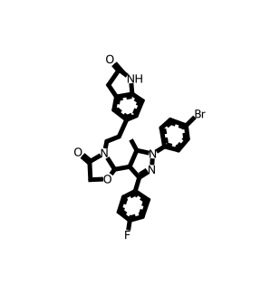 CC1C(C2OCC(=O)N2CCc2ccc3c(c2)CC(=O)N3)C(c2ccc(F)cc2)=NN1c1ccc(Br)cc1